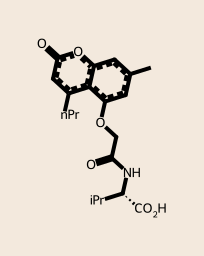 CCCc1cc(=O)oc2cc(C)cc(OCC(=O)N[C@H](C(=O)O)C(C)C)c12